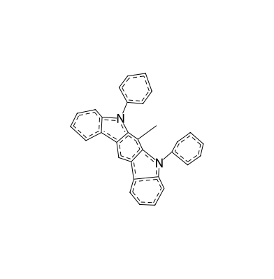 Cc1c2c(cc3c4ccccc4n(-c4ccccc4)c13)c1ccccc1n2-c1ccccc1